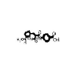 CNc1cccc2cc(C(=O)Nc3ccc(C(=O)O)cc3)c(=O)[nH]c12